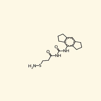 NSCCC(=O)NC(=O)Nc1c2c(cc3c1CCC3)CCC2